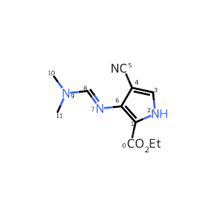 CCOC(=O)c1[nH]cc(C#N)c1/N=C/N(C)C